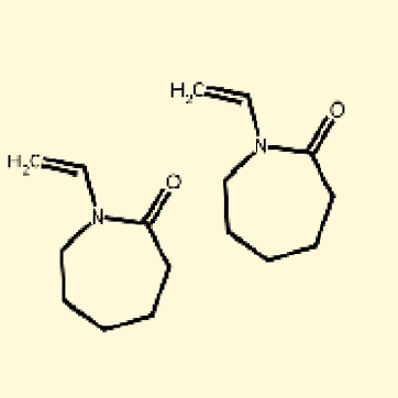 C=CN1CCCCCC1=O.C=CN1CCCCCC1=O